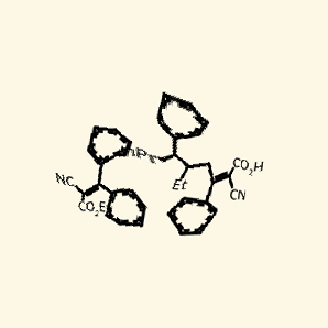 CCCC(c1ccccc1)C(CC)CC(=C(C#N)C(=O)O)c1ccccc1.CCOC(=O)C(C#N)=C(c1ccccc1)c1ccccc1